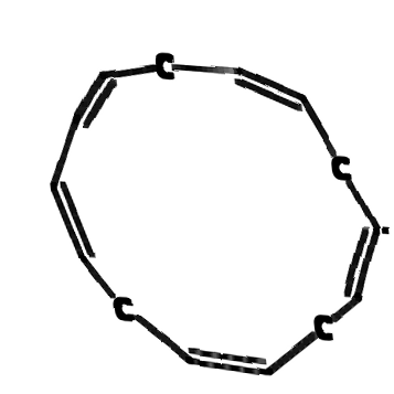 [C]1=CCC=CCC=CC=CCC=CC1